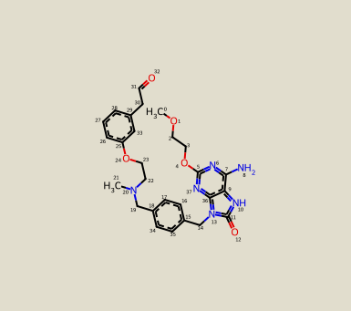 COCCOc1nc(N)c2[nH]c(=O)n(Cc3ccc(CN(C)CCOc4cccc(CC=O)c4)cc3)c2n1